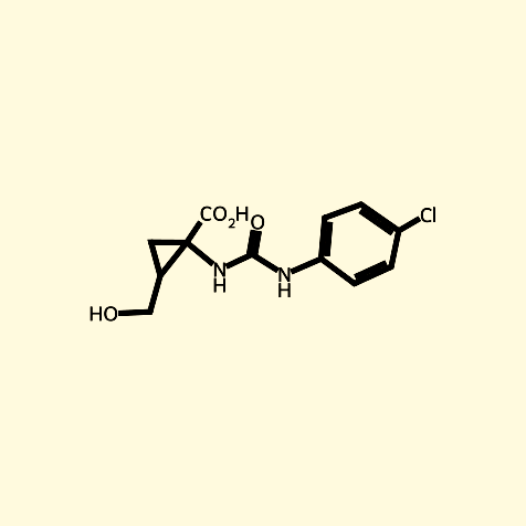 O=C(Nc1ccc(Cl)cc1)NC1(C(=O)O)CC1CO